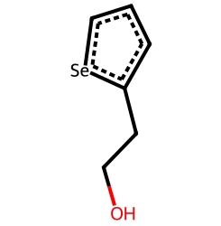 OCCc1ccc[se]1